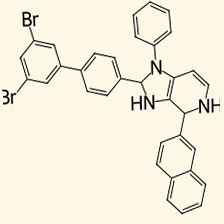 Brc1cc(Br)cc(-c2ccc(C3NC4=C(C=CNC4c4ccc5ccccc5c4)N3c3ccccc3)cc2)c1